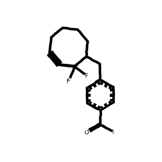 O=C(I)c1ccc(CC2CCCCC#CC2(F)F)cc1